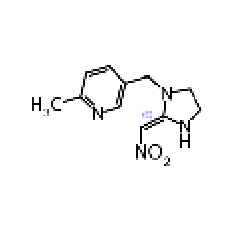 Cc1ccc(CN2CCN/C2=C\[N+](=O)[O-])cn1